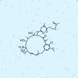 COc1cc2cc(c1Cl)N(C)C(=O)CC(OC(=O)CN(C)C(=O)CC[C@@H](C)S(C)=S)C(C)(O)CC(C)C(O)CC(N)(O)C(OC)/C=C/C=C(\C)C2